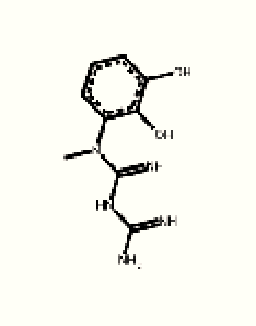 CN(C(=N)NC(=N)N)c1cccc(O)c1O